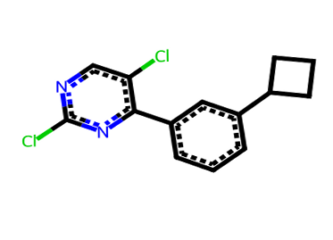 Clc1ncc(Cl)c(-c2cccc(C3CCC3)c2)n1